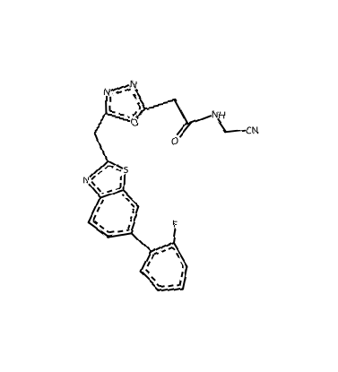 N#CCNC(=O)Cc1nnc(Cc2nc3ccc(-c4ccccc4F)cc3s2)o1